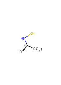 CC(C)[C@@H](NS)C(=O)O